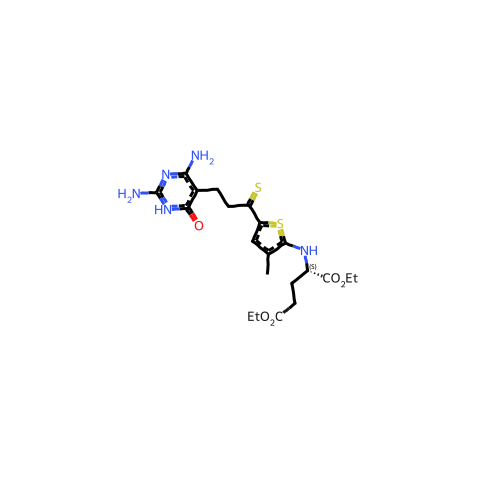 CCOC(=O)CC[C@H](Nc1sc(C(=S)CCc2c(N)nc(N)[nH]c2=O)cc1C)C(=O)OCC